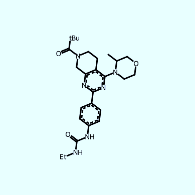 CCNC(=O)Nc1ccc(-c2nc3c(c(N4CCOCC4C)n2)CCN(C(=O)C(C)(C)C)C3)cc1